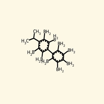 Bc1c(B)c(B)c(-c2c(B)c(B)c(C(C)C)c(B)c2B)c(B)c1B